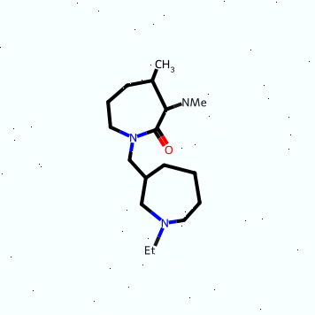 CCN1CCCCC(CN2CCCC(C)C(NC)C2=O)C1